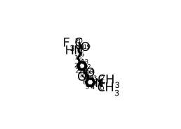 CN(C)c1cccc(S(=O)(=O)c2ccc(CCNC(=O)C(F)(F)F)cc2)c1